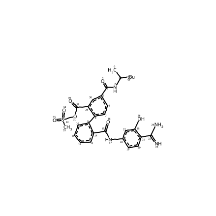 CC(NC(=O)c1ccc(-c2ccccc2C(=O)Nc2ccc(C(=N)N)c(O)c2)c(C(=O)OS(C)(=O)=O)c1)C(C)(C)C